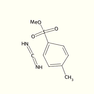 COS(=O)(=O)c1ccc(C)cc1.N=C=N